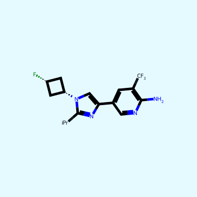 CC(C)c1nc(-c2cnc(N)c(C(F)(F)F)c2)cn1[C@H]1C[C@@H](F)C1